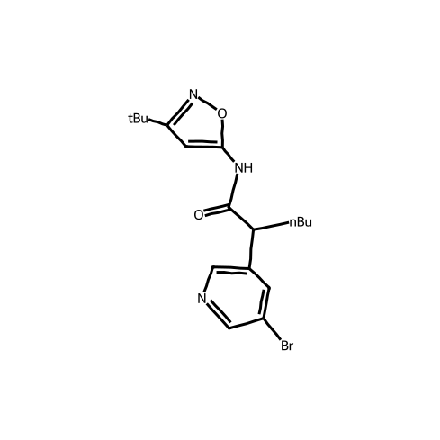 CCCCC(C(=O)Nc1cc(C(C)(C)C)no1)c1cncc(Br)c1